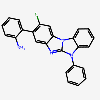 Nc1ccccc1-c1cc2nc3n(-c4ccccc4)c4ccccc4n3c2cc1F